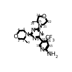 C[C@H]1COCCN1c1nc(-c2cnc(N)cc2C(F)(F)F)nc(N2CCOC[C@@H]2C)n1